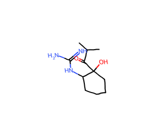 CC(C)C(=O)C1(O)CCCCC1NC(=N)N